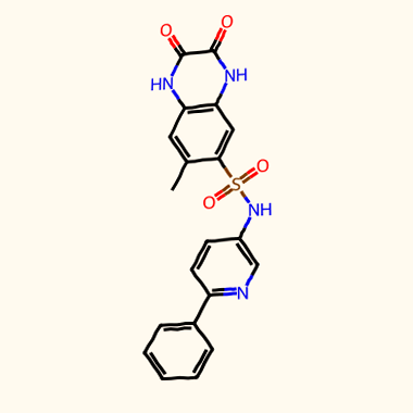 Cc1cc2[nH]c(=O)c(=O)[nH]c2cc1S(=O)(=O)Nc1ccc(-c2ccccc2)nc1